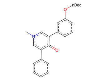 CCCCCCCCCCOc1cccc(-c2cn(C)cc(-c3ccccc3)c2=O)c1